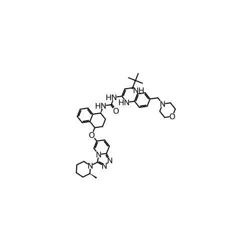 C[C@H]1CCCCN1c1nnc2ccc(OC3CC[C@H](NC(=O)N/C(=C/C(=N)C(C)(C)C)Nc4ccc(CN5CCOCC5)cc4)c4ccccc43)cn12